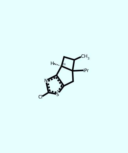 CC(C)C12Cc3sc(Cl)nc3[C@H]1CC2C